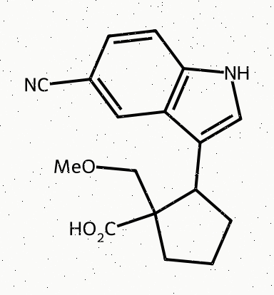 COCC1(C(=O)O)CCCC1c1c[nH]c2ccc(C#N)cc12